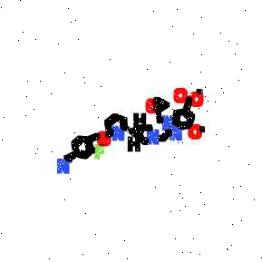 COC(=O)c1cc(OC)c2nc(CN3C[C@@H]4[C@H](C3)[C@H]4c3cccc(OCc4ccc(C#N)cc4F)n3)n(C[C@@H]3CCO3)c2c1